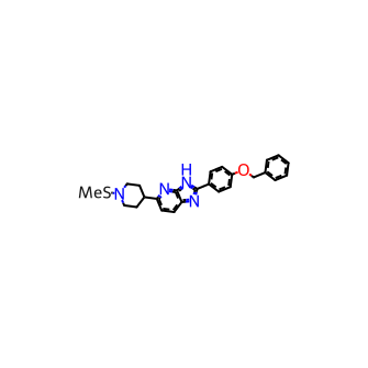 CSN1CCC(c2ccc3nc(-c4ccc(OCc5ccccc5)cc4)[nH]c3n2)CC1